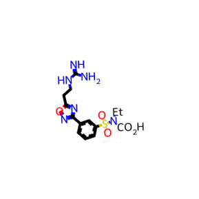 CCN(C(=O)O)S(=O)(=O)c1cccc(-c2noc(CCNC(=N)N)n2)c1